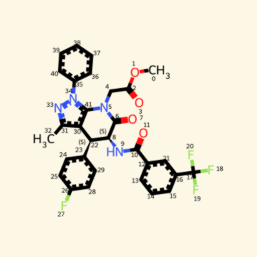 COC(=O)CN1C(=O)[C@@H](NC(=O)c2cccc(C(F)(F)F)c2)[C@@H](c2ccc(F)cc2)c2c(C)nn(-c3ccccc3)c21